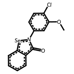 COc1cc(-n2[se]c3ccccc3c2=O)ccc1Cl